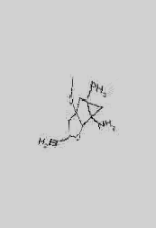 BC1CC2(OI)CC3(P)CC3(N)C2O1